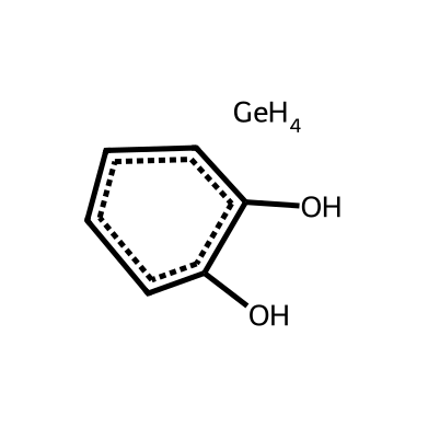 Oc1ccccc1O.[GeH4]